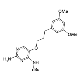 CCCCNc1nc(N)ncc1OCCCc1cc(OC)cc(OC)c1